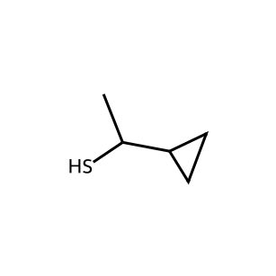 CC(S)C1CC1